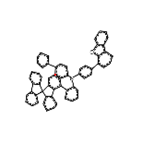 c1ccc(-c2ccc(N(c3ccc(-c4cccc5c4oc4ccccc45)cc3)c3ccccc3-c3cccc4c3-c3ccccc3C43c4ccccc4-c4ccccc43)cc2)cc1